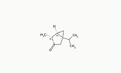 CC(C)C12CC(=O)[C@H](C)[C@H]1C2